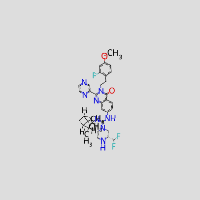 COc1ccc(CCn2c(-c3cnccn3)nc3cc(NC(=N[C@H]4C[C@H]5C[C@@H]([C@@H]4C)C5(C)C)N4CCN[C@@H](C(F)F)C4)ccc3c2=O)c(F)c1